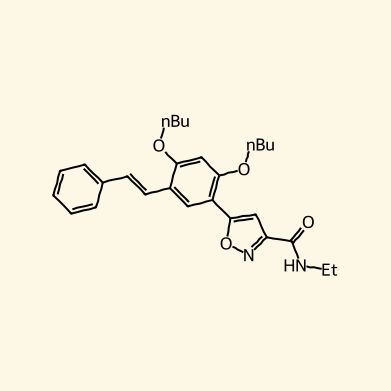 CCCCOc1cc(OCCCC)c(-c2cc(C(=O)NCC)no2)cc1/C=C/c1ccccc1